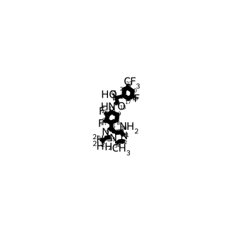 [2H]C([2H])([2H])c1nc(-c2ccc(NC(=O)[C@@H](O)c3cc(F)cc(C(F)(F)F)c3)c(F)c2F)c2c(N)ncc(C)n12